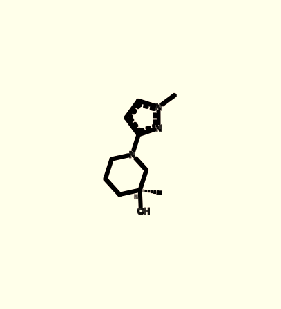 Cn1ccc(N2CCC[C@](C)(O)C2)n1